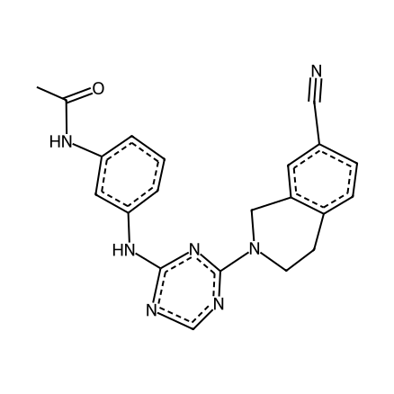 CC(=O)Nc1cccc(Nc2ncnc(N3CCc4ccc(C#N)cc4C3)n2)c1